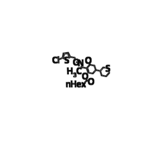 CCCCCCC(=O)OC1=C(C(C)=NOCc2ccc(Cl)s2)C(=O)CC(C2CCCSC2)C1